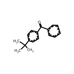 CC(C)(C)c1ccc(C(=O)c2[c]cccc2)cc1